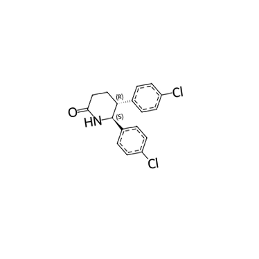 O=C1CC[C@H](c2ccc(Cl)cc2)[C@@H](c2ccc(Cl)cc2)N1